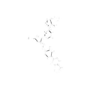 CCCc1cc(COc2ccc(C3CCN(CC(F)(F)F)CC3)cc2C)c(-c2cccc(-n3ncc(C(=O)O)c3C(F)(F)F)n2)s1